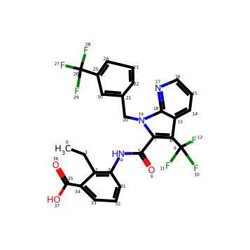 CCc1c(NC(=O)c2c(C(F)(F)F)c3cccnc3n2Cc2cccc(C(F)(F)F)c2)cccc1C(=O)O